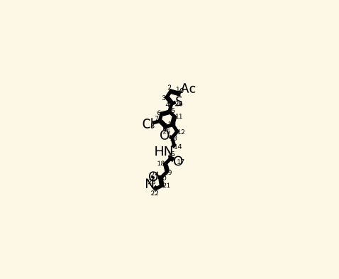 CC(=O)c1ccc(-c2cc(Cl)c3c(c2)CC(CNC(=O)/C=C/c2ccno2)O3)s1